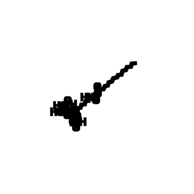 CCCCCCCCCCCCCCCC(=O)OCC(=O)NCCCCCCOC1C(O[PH](=O)O)C(CO)OC1n1ccc(=O)[nH]c1=O